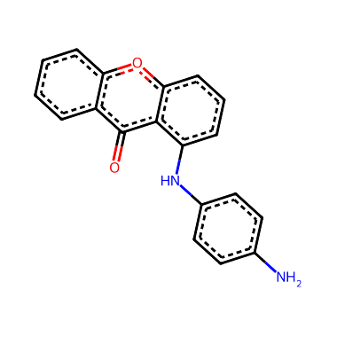 Nc1ccc(Nc2cccc3oc4ccccc4c(=O)c23)cc1